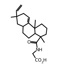 C=CC1(C)CC=C2C(CCC3C(C)(C(=O)NCC(=O)O)CCCC23C)C1